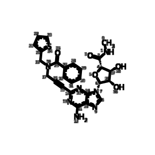 CNC(=O)[C@H]1O[C@@H](n2cnc3c(N)nc(C#CCN(Cc4cccs4)C(=O)c4ccccc4)nc32)[C@H](O)[C@@H]1O